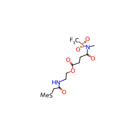 CSCC(=O)NCCOC(=O)CCC(=O)N(C)S(=O)(=O)C(F)(F)F